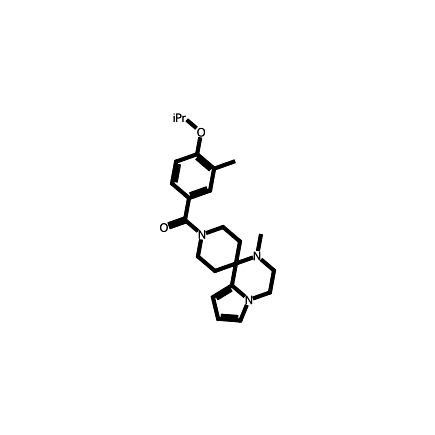 Cc1cc(C(=O)N2CCC3(CC2)c2cccn2CCN3C)ccc1OC(C)C